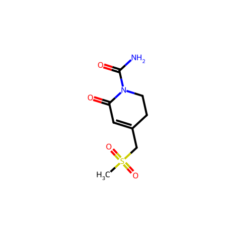 CS(=O)(=O)CC1=CC(=O)N(C(N)=O)CC1